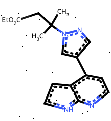 CCOC(=O)CC(C)(C)n1cc(-c2ccnc3[nH]ccc23)cn1